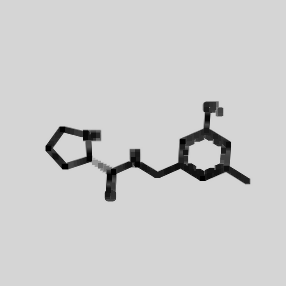 Cc1cc(CNC(=O)[C@@H]2CCCN2)cc(C(F)(F)F)c1